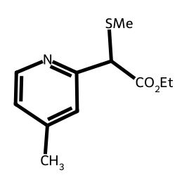 CCOC(=O)C(SC)c1cc(C)ccn1